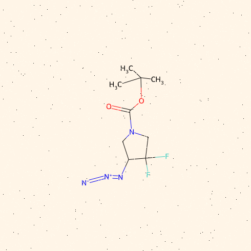 CC(C)(C)OC(=O)N1CC(N=[N+]=[N-])C(F)(F)C1